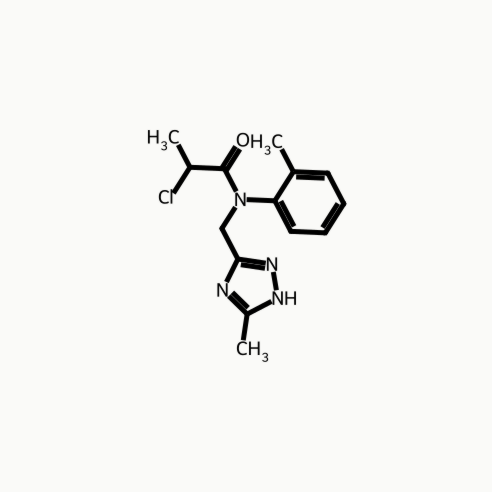 Cc1nc(CN(C(=O)C(C)Cl)c2ccccc2C)n[nH]1